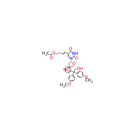 COc1ccc(C(c2ccccc2)(c2ccc(OC)cc2)C(O)[C@H]2O[C@@H](n3cc(C=CCCOC(C)=O)c(=O)[nH]c3=O)C[C@@H]2O)cc1